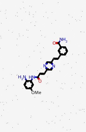 COc1ccc(N)c(NC(=O)/C=C/c2cnc(/C=C/c3cccc(C(N)=O)c3)cn2)c1